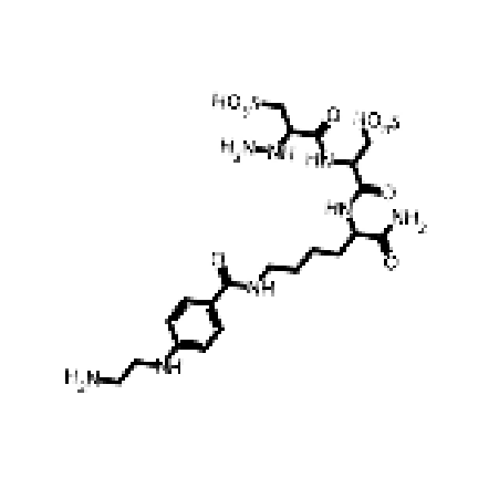 NCCNc1ccc(C(=O)NCCCCC(NC(=O)C(CS(=O)(=O)O)NC(=O)C(CS(=O)(=O)O)NN)C(N)=O)cc1